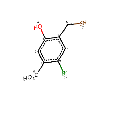 O=C(O)c1cc(O)c(CS)cc1Br